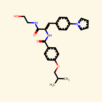 CC(C)COc1ccc(C(=O)N/C(=C\c2ccc(-n3cccc3)cc2)C(=O)NCCO)cc1